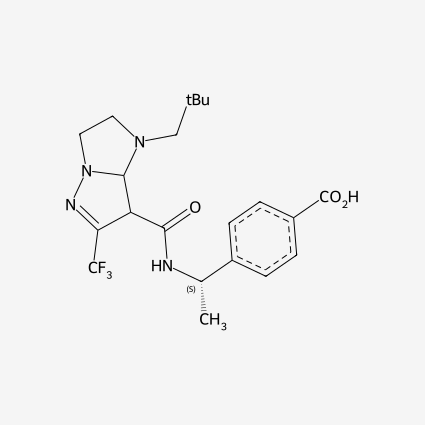 C[C@H](NC(=O)C1C(C(F)(F)F)=NN2CCN(CC(C)(C)C)C12)c1ccc(C(=O)O)cc1